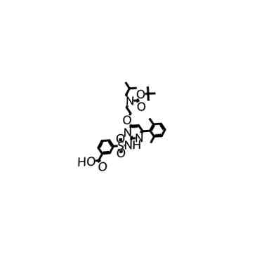 Cc1cccc(C)c1-c1cc(OCCN(CC(C)C)C(=O)OC(C)(C)C)nc(NS(=O)(=O)c2cccc(C(=O)O)c2)n1